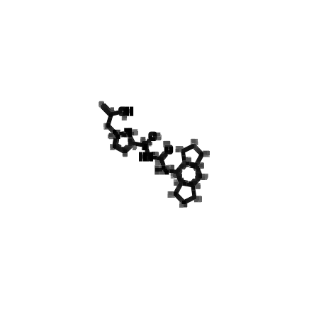 C=C(O)Cn1ccc([S+]([O-])NC(=O)Nc2c3c(cc4c2CCC4)CCC3)n1